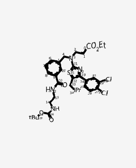 CCOC(=O)CCN(Cc1cccc(C(=O)NCCNC(=O)OC(C)(C)C)c1)c1nc(-c2ccc(Cl)c(Cl)c2)c(CC(C)C)s1